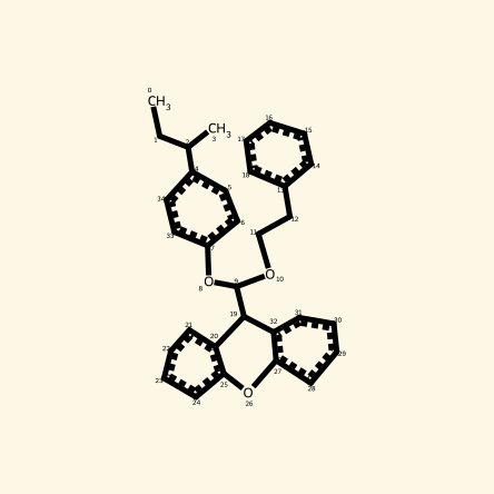 CCC(C)c1ccc(OC(OCCc2ccccc2)C2c3ccccc3Oc3ccccc32)cc1